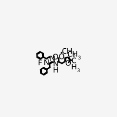 CCOC(=O)C(Cc1cc(C)c(C)o1)Nc1ncc(-c2ccccc2F)nc1Cc1ccccc1